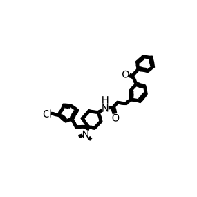 CN(C)C1(Cc2cccc(Cl)c2)CCC(NC(=O)CCc2cccc(C(=O)c3ccccc3)c2)CC1